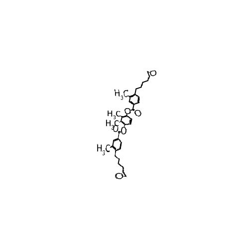 Cc1cc(C(=O)Oc2ccc(OC(=O)c3ccc(CCCCC4CO4)c(C)c3)c(C)c2C)ccc1CCCCC1CO1